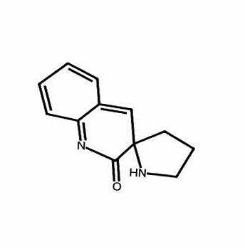 O=C1N=c2ccccc2=CC12CCCN2